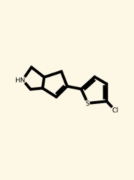 Clc1ccc(C2=CC3CNCC3C2)s1